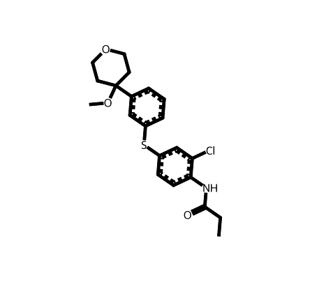 CCC(=O)Nc1ccc(Sc2cccc(C3(OC)CCOCC3)c2)cc1Cl